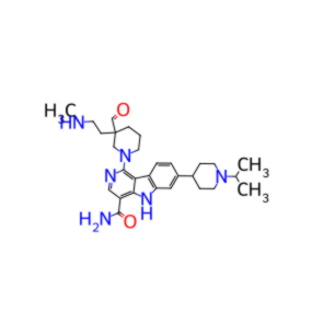 CNCCC1(C=O)CCCN(c2ncc(C(N)=O)c3[nH]c4cc(C5CCN(C(C)C)CC5)ccc4c23)C1